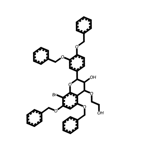 OCCOC1c2c(OCc3ccccc3)cc(OCc3ccccc3)c(Br)c2OC(c2ccc(OCc3ccccc3)c(OCc3ccccc3)c2)C1O